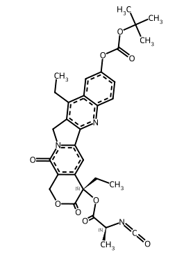 CCc1c2c(nc3ccc(OC(=O)OC(C)(C)C)cc13)-c1cc3c(c(=O)n1C2)COC(=O)[C@@]3(CC)OC(=O)[C@H](C)N=C=O